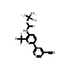 CC(C)(C)OC(=O)Nc1ccc(-c2cncc(C#N)c2)nc1C(F)(F)F